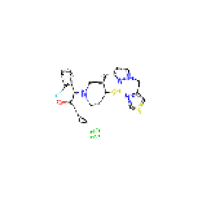 Cl.Cl.O=C(C1CC1)C(c1ccccc1F)N1CCC(S)/C(=C\c2ccn(Cc3cscn3)n2)C1